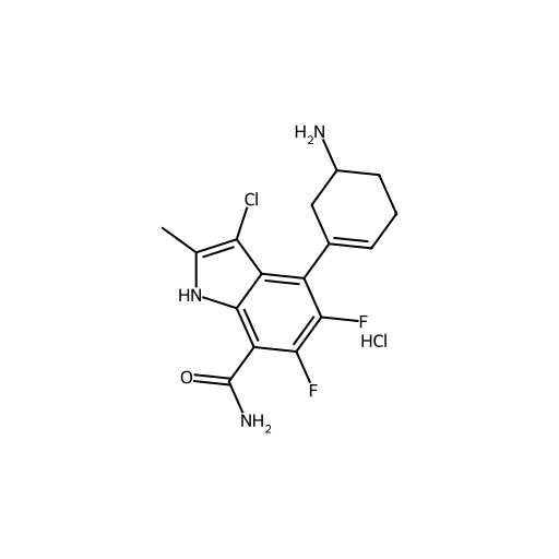 Cc1[nH]c2c(C(N)=O)c(F)c(F)c(C3=CCCC(N)C3)c2c1Cl.Cl